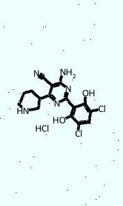 Cl.N#Cc1c(N)nc(-c2c(O)c(Cl)cc(Cl)c2O)nc1C1CCCNC1